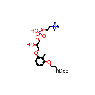 CCCCCCCCCCCCOc1cccc(OCC(O)COP(=O)(O)OCC[N+](C)(C)C)c1C